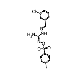 Cc1ccc(S(=O)(=O)ON=C(N)NN=Cc2cccc(Cl)c2)cc1